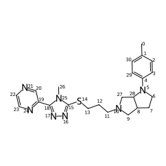 Cc1ccc(N2CCC3CN(CCCSc4nnc(-c5cnccn5)n4C)CC32)cc1